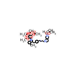 CC(=O)OC[C@H]1O[C@@H](n2cc(Cc3ccc(/C=C/CCN4CCCC5(CCN(C(=O)OC(C)(C)C)CC5)C4)cc3)c3c(C)cccc32)[C@@H](OC(C)=O)[C@H](OC(C)=O)[C@@H]1OC(C)=O